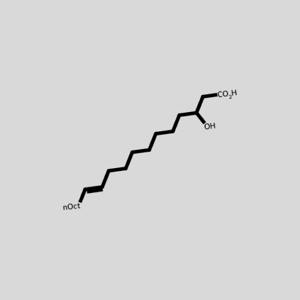 CCCCCCCCC=CCCCCCCCC(O)CC(=O)O